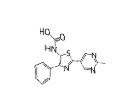 Cc1ncc(-c2nc(-c3ccccc3)c(NC(=O)O)s2)cn1